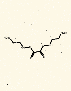 CCCCCCCCCCCCNOC(=O)C(=O)ONCCCCCCCCCCCC